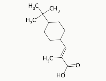 C/C(=C\C1CCC(C(C)(C)C)CC1)C(=O)O